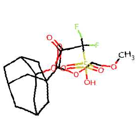 COCOC(=O)C12CC3CC(C1)C(OC(=O)C(F)(F)S(=O)(=O)O)C(C3)C2